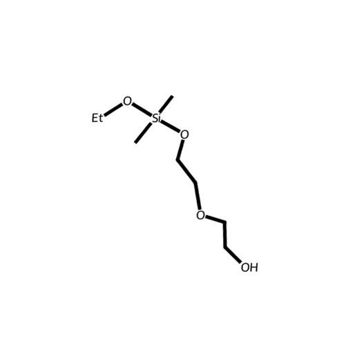 CCO[Si](C)(C)OCCOCCO